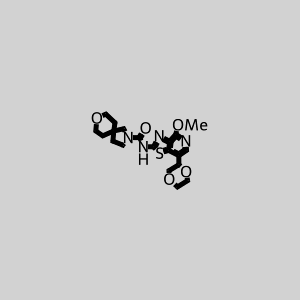 COc1ncc(C2COCCO2)c2sc(NC(=O)N3CCC4(CCOCC4)C3)nc12